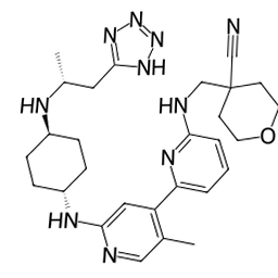 Cc1cnc(N[C@H]2CC[C@H](N[C@H](C)Cc3nnn[nH]3)CC2)cc1-c1cccc(NCC2(C#N)CCOCC2)n1